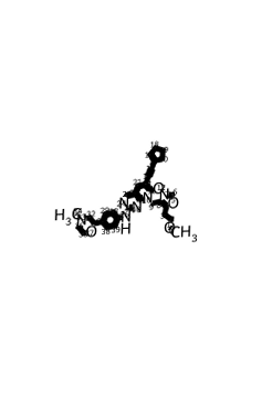 COCCc1ocnc1Cn1c(=O)c(C#CC2=CCCC2)cc2cnc(Nc3ccc(C4CN(C)CCO4)cc3)nc21